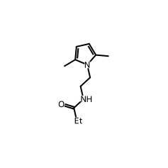 CCC(=O)NCCn1c(C)ccc1C